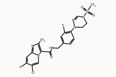 O=C(NCc1ccc(N2CCN(S(=O)(=O)C(F)(F)F)C=N2)c(F)c1)c1c(C(F)(F)F)nc2cc(F)c(Cl)cn12